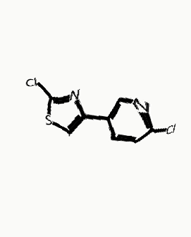 Clc1ccc(-c2[c]sc(Cl)n2)cn1